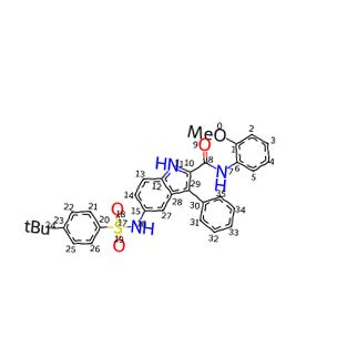 COc1ccccc1NC(=O)c1[nH]c2ccc(NS(=O)(=O)c3ccc(C(C)(C)C)cc3)cc2c1-c1ccccc1